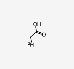 [2H]CC(=O)O